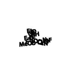 CCS(=O)(=O)N[C@H]1C[C@@H](C(F)F)N(C(=O)OC)[C@H]1COC1CCC2(c3ncc(F)cn3)CC2C1